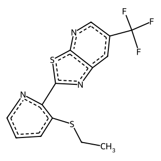 CCSc1cccnc1-c1nc2cc(C(F)(F)F)cnc2s1